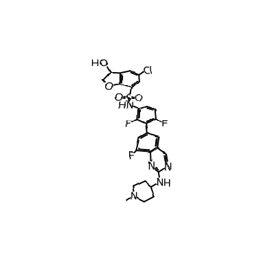 CN1CCC(Nc2ncc3cc(-c4c(F)ccc(NS(=O)(=O)c5cc(Cl)cc6c5OCC6O)c4F)cc(F)c3n2)CC1